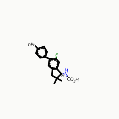 CCCc1ccc(-c2cc3c(cc2F)[C@H](NC(=O)O)C(C)(C)C3)cc1